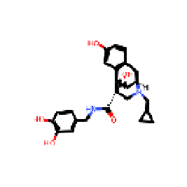 O=C(NCc1ccc(O)c(O)c1)[C@@H]1C[C@]23CCN(CC4CC4)[C@H](Cc4ccc(O)cc42)[C@]3(O)C1